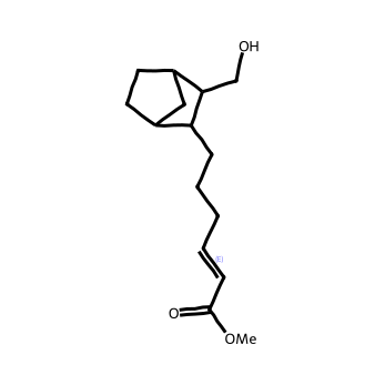 COC(=O)/C=C/CCCC1C2CCC(C2)C1CO